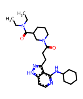 CCN(CC)C(=O)C1CCCN(C(=O)CCc2n[nH]c3ccnc(NC4CCCCC4)c23)C1